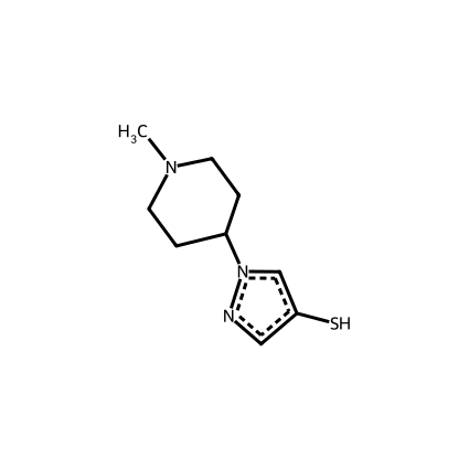 CN1CCC(n2cc(S)cn2)CC1